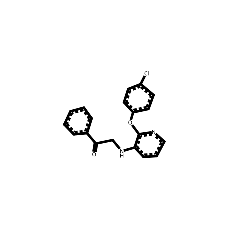 O=C(CNc1cccnc1Oc1ccc(Cl)cc1)c1ccccc1